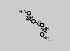 Nc1cccc(S(=O)(=O)Nc2ccc(-c3nc4cc(NS(=O)(=O)c5cccc(N)c5)ccc4o3)cc2)c1